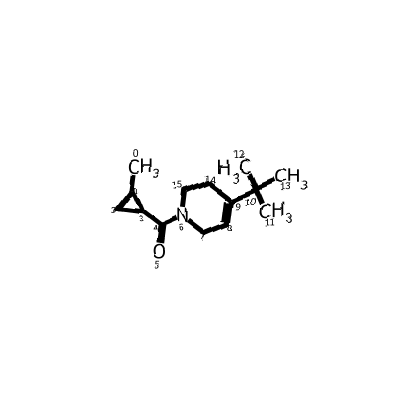 CC1CC1C(=O)N1CC=C(C(C)(C)C)CC1